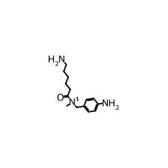 C[N+](C)(Cc1ccc(N)cc1)C(=O)CCCCCN